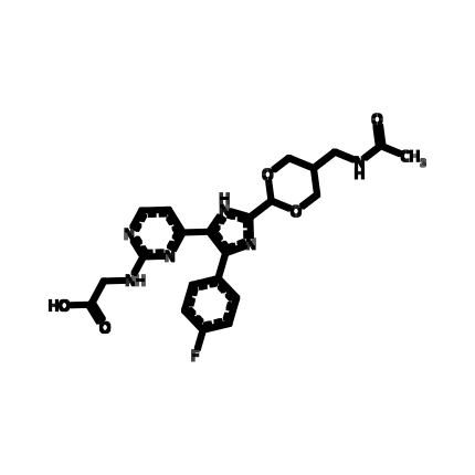 CC(=O)NCC1COC(c2nc(-c3ccc(F)cc3)c(-c3ccnc(NCC(=O)O)n3)[nH]2)OC1